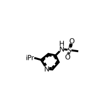 CC(C)c1cc(NS(C)(=O)=O)ccn1